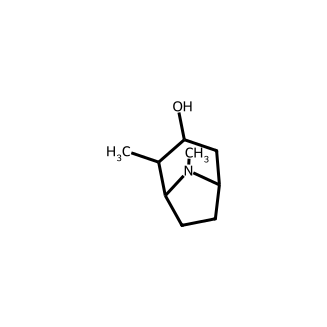 CC1C(O)CC2CCC1N2C